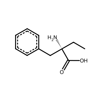 CC[C@](N)(Cc1ccccc1)C(=O)O